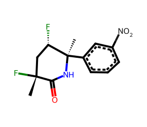 C[C@@]1(F)C[C@H](F)[C@@](C)(c2cccc([N+](=O)[O-])c2)NC1=O